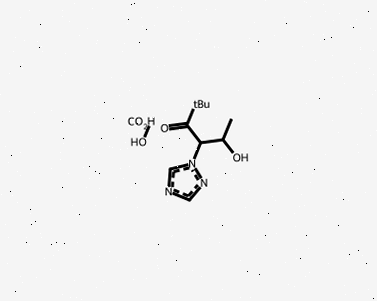 CC(O)C(C(=O)C(C)(C)C)n1cncn1.O=C(O)O